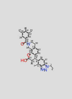 CCn1nnc2c(C)c(C(c3ccc4c(c3)CN(C(=O)c3cc(C)c(C)c(C)c3)CC4)C(C)C(=O)O)ccc21